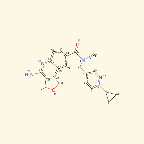 CC(C)N(Cc1ccc(C2CC2)nc1)C(=O)c1ccc2nc(N)c3c(c2c1)COC3